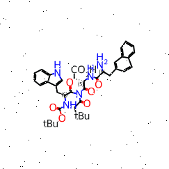 CC(C)(C)CC(=O)N(C(=O)[C@H](Cc1c[nH]c2ccccc12)NC(=O)OC(C)(C)C)C(=O)[C@H](CC(=O)O)NC(=O)[C@@H](N)Cc1ccc2ccccc2c1